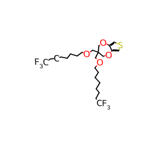 FC(F)(F)CCCCCCCOCC1(COCCCCCCCC(F)(F)F)COc2cscc2OC1